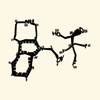 N#CCn1c2c(c3ccccc31)CCNC2.O=C(O)C(F)(F)F